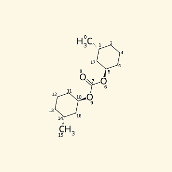 C[C@@H]1CCC[C@@H](OC(=O)O[C@@H]2CCC[C@@H](C)C2)C1